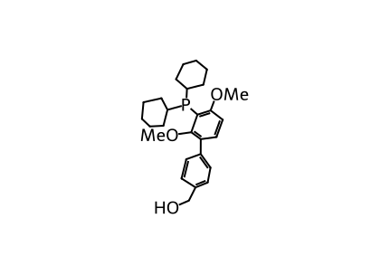 COc1ccc(-c2ccc(CO)cc2)c(OC)c1P(C1CCCCC1)C1CCCCC1